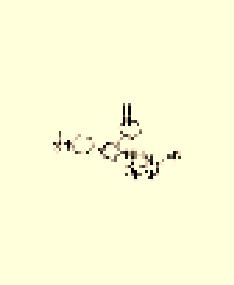 CC(=O)N1CCC(c2ccc(NC(=O)C3=NC(C#N)CN3)c(C3=CCCNC3)c2)CC1